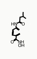 C=C(/C=C\C(=C)C(=O)NO)NC(=O)CC(C)C